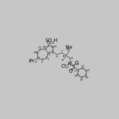 CC(C)c1ccc2c(CCC(C)(C)CN(Cl)S(=O)(=O)c3ccccc3)cc(S(=O)(=O)O)c-2cc1.[Na]